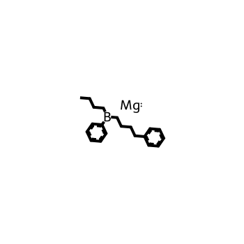 CCCCB(CCCCc1ccccc1)c1ccccc1.[Mg]